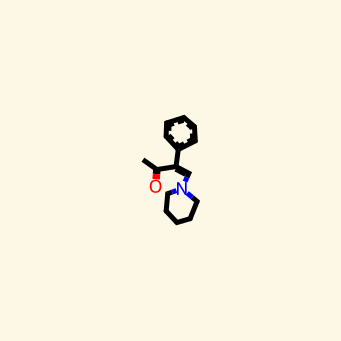 CC(=O)/C(=C\N1CCCCC1)c1ccccc1